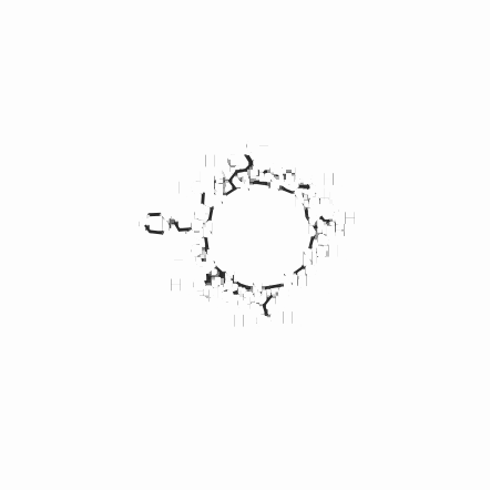 C/C=C/C[C@@H](C)[C@@H](O)[C@H]1C(=O)N[C@H](CCC)C(=O)N(C)[C@H](SCCCN2CCOCC2)C(=O)N(C)[C@@H](CC(C)(C)O)C(=O)N[C@H](C(C)C)C(=O)N(C)[C@H](CCC(C)C)C(=O)N[C@H](C)C(=O)N[C@@H](C)C(=O)N(C)[C@@H](CC(C)C)C(=O)N(C)[C@H](CC(C)C)C(=O)N(C)[C@H](C(C)C)C(=O)N1C